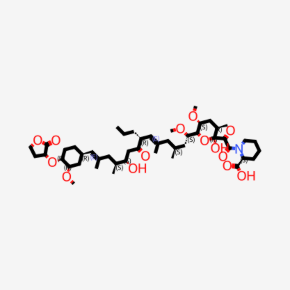 CCC[C@H](/C=C(\C)C[C@H](C)C[C@H](OC)C1O[C@@](O)(C(=O)C(=O)N2CCCC[C@H]2C(=O)O)[C@H](C)C[C@@H]1OC)C(=O)C[C@H](O)[C@@H](C)C/C(C)=C/[C@@H]1CC[C@@H](OC2CCOC2=O)[C@H](OC)C1